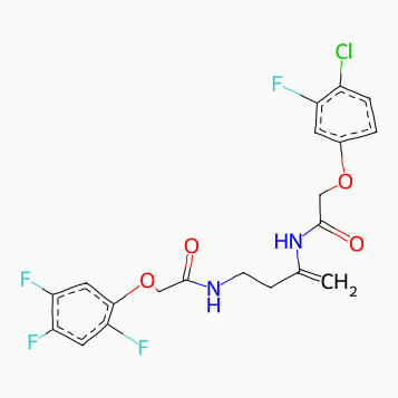 C=C(CCNC(=O)COc1cc(F)c(F)cc1F)NC(=O)COc1ccc(Cl)c(F)c1